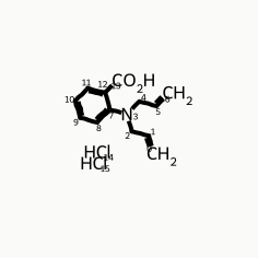 C=CCN(CC=C)c1ccccc1C(=O)O.Cl.Cl